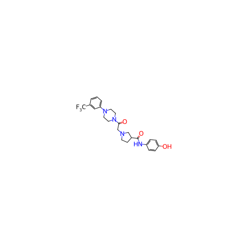 O=C(Nc1ccc(O)cc1)C1CCN(CC(=O)N2CCN(c3cccc(C(F)(F)F)c3)CC2)C1